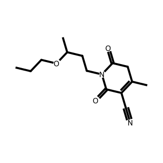 CCCOC(C)CCN1C(=O)CC(C)=C(C#N)C1=O